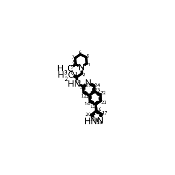 C=C(CN1CCCCC1C)Nc1cc2cc(-c3cn[nH]c3)ccc2cn1